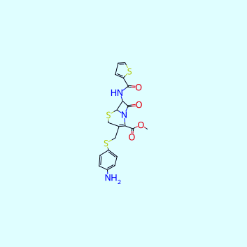 COC(=O)C1=C(CSc2ccc(N)cc2)CSC2C(NC(=O)c3cccs3)C(=O)N12